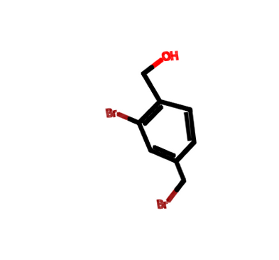 OCc1ccc(CBr)cc1Br